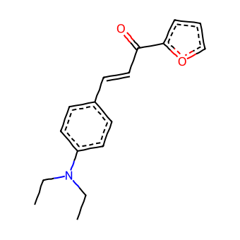 CCN(CC)c1ccc(C=CC(=O)c2ccco2)cc1